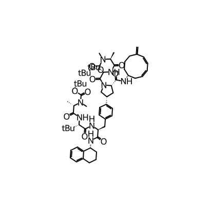 C=C1/C=C\C=C/C[C@H](NC(=O)[C@@H]2C[C@H](c3ccc(C[C@H](NC(=O)[C@@H](NC(=O)[C@H](C)N(C)C(=O)OC(C)(C)C)C(C)(C)C)C(=O)N[C@@H]4CCCc5ccccc54)cc3)CN2C(=O)[C@@H](NC(=O)[C@H](C)N(C)C(=O)OC(C)(C)C)C(C)(C)C)CCC1